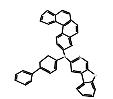 C1=C(c2ccccc2)CCC(N(c2ccc3c(ccc4ccc5ccccc5c43)c2)c2cc3c(cn2)sc2ccccc23)=C1